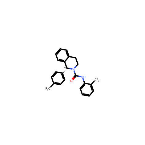 O=C(Nc1ccccc1C(F)(F)F)N1CCc2ccccc2[C@H]1c1ccc(C(F)(F)F)cc1